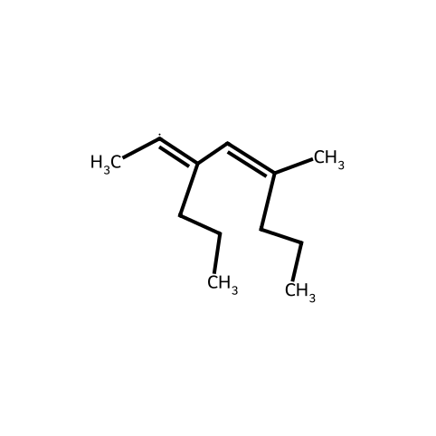 C/[C]=C(/C=C(C)CCC)CCC